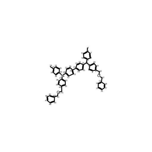 Cc1ccc(C(c2ccc(COCc3ccccc3)cc2)c2ccc(-c3ccc(N(c4ccc(C)cc4)c4ccc(COCc5ccccc5)cc4)cc3)cc2)cc1